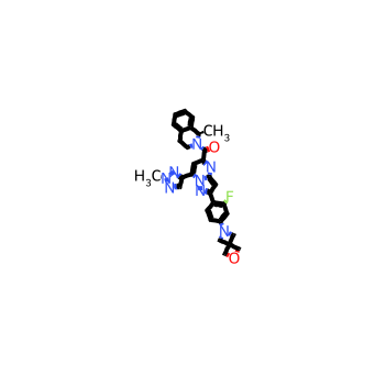 C[C@@H]1c2ccccc2CCN1C(=O)c1cc(-c2cnn(C)n2)n2nc(-c3ccc(N4CC5(COC5)C4)cc3F)cc2n1